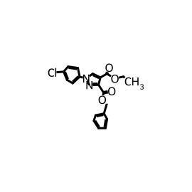 CCOC(=O)c1cn(-c2ccc(Cl)cc2)nc1C(=O)OCc1ccccc1